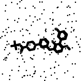 COc1ccc(Cc2ccnc(N3CCN(C(=O)OC(C)(C)C)CC3)c2)c(F)c1-c1cccc(Cl)c1